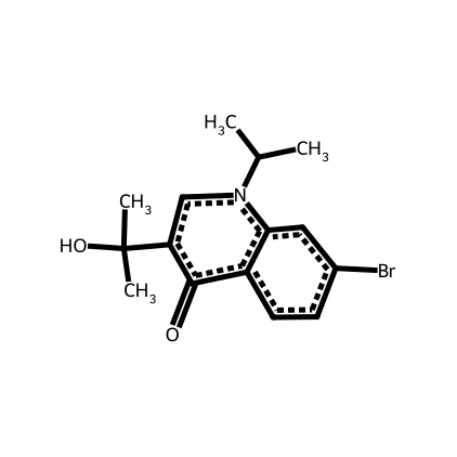 CC(C)n1cc(C(C)(C)O)c(=O)c2ccc(Br)cc21